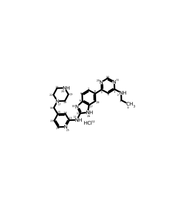 CCNc1cc(-c2ccc3nc(Nc4cc(CN5CCNCC5)ccn4)[nH]c3c2)ncn1.Cl